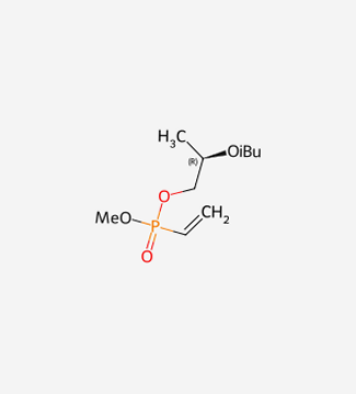 C=CP(=O)(OC)OC[C@@H](C)OCC(C)C